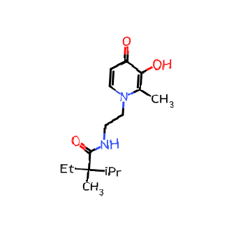 CCC(C)(C(=O)NCCn1ccc(=O)c(O)c1C)C(C)C